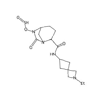 CCN1CC2(CC(NC(=O)C3CCC4CN3C(=O)N4O[SH]=O)C2)C1